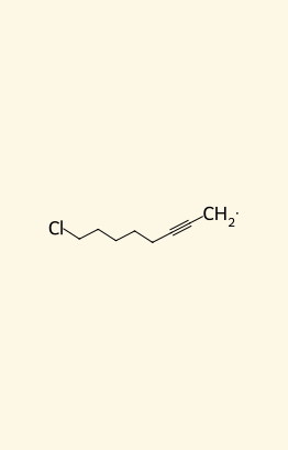 [CH2]C#CCCCCCCl